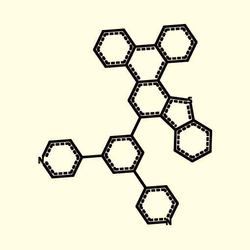 c1ccc2c(c1)sc1c2c(-c2cc(-c3ccncc3)cc(-c3ccncc3)c2)cc2c3ccccc3c3ccccc3c21